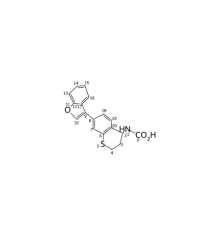 O=C(O)NC1CCSc2cc(-c3coc4ccccc34)ccc21